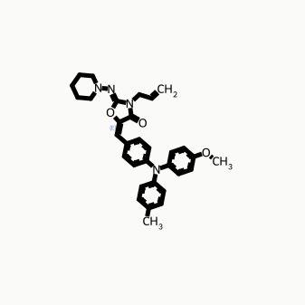 C=CCN1C(=O)/C(=C\c2ccc(N(c3ccc(C)cc3)c3ccc(OC)cc3)cc2)OC1=NN1CCCCC1